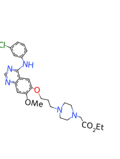 CCOC(=O)CN1CCN(CCCOc2cc3c(Nc4cccc(Cl)c4)ncnc3cc2OC)CC1